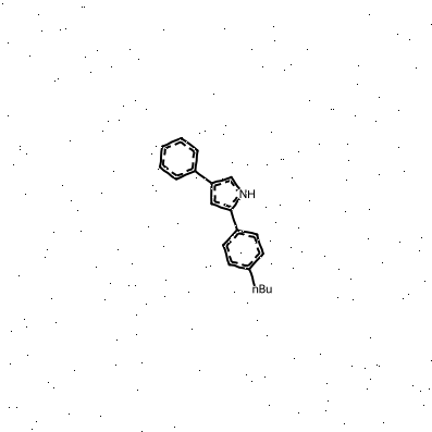 CCCCc1ccc(-c2cc(-c3ccccc3)c[nH]2)cc1